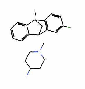 NC1CCN(C[C@@]23C[C@H](c4ccccc42)c2ccc(Cl)cc23)CC1